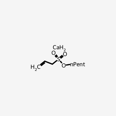 C=CCS(=O)(=O)OCCCCC.[CaH2]